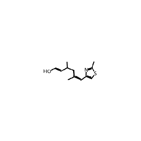 CC(=Cc1csc(C)n1)CC(C)C=CO